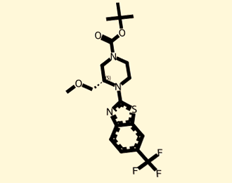 COC[C@@H]1CN(C(=O)OC(C)(C)C)CCN1c1nc2ccc(C(F)(F)F)cc2s1